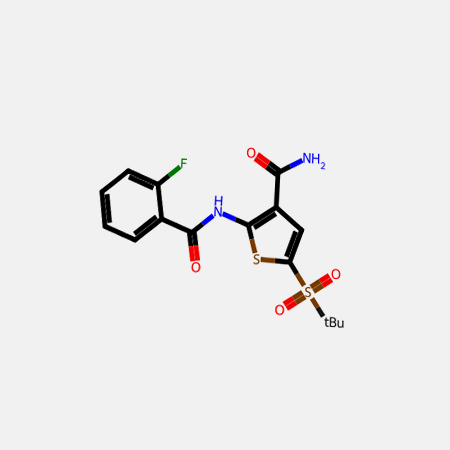 CC(C)(C)S(=O)(=O)c1cc(C(N)=O)c(NC(=O)c2ccccc2F)s1